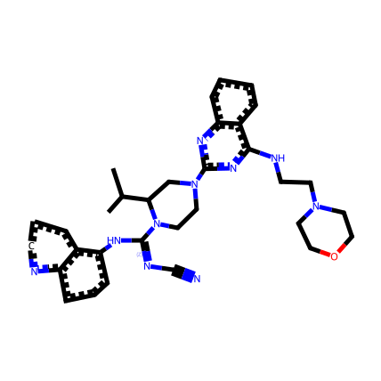 CC(C)C1CN(c2nc(NCCN3CCOCC3)c3ccccc3n2)CCN1/C(=N\C#N)Nc1cccc2ncccc12